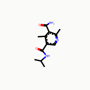 Cc1ncc(C(=O)NC(C)C)c(C)c1C(N)=O